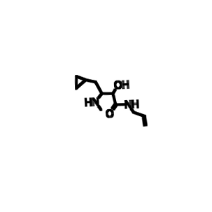 C=CCNC(=O)C(O)C(CC1CC1)NC